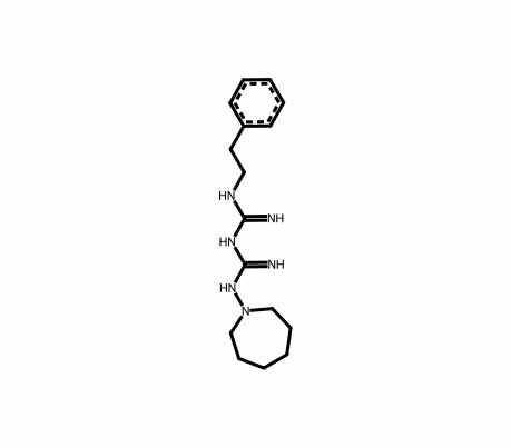 N=C(NCCc1ccccc1)NC(=N)NN1CCCCCC1